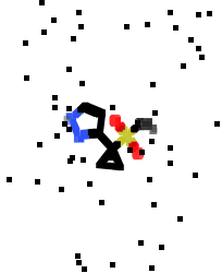 CS(=O)(=O)C1(C2=N[N]C=C2)CC1